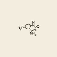 Cc1ccc2[nH]c(=O)nc(N)c2c1